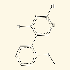 CSc1ccccc1-c1cnc(Cl)nc1Cl